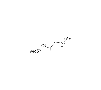 CSOCCNC(C)=O